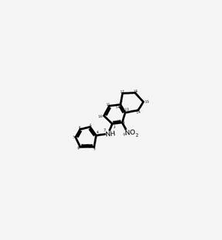 O=[N+]([O-])c1c(Nc2ccccc2)ccc2c1CCCC2